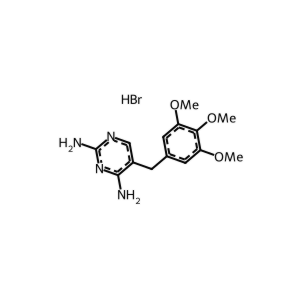 Br.COc1cc(Cc2cnc(N)nc2N)cc(OC)c1OC